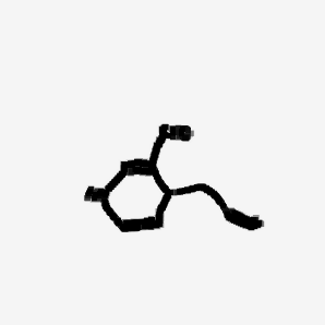 C=CCC1C=CNC=C1[C]=O